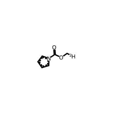 [2H]COC(=O)n1cccc1